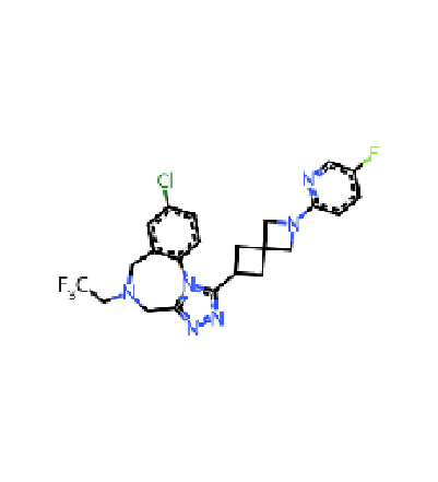 Fc1ccc(N2CC3(CC(c4nnc5n4-c4ccc(Cl)cc4CN(CC(F)(F)F)C5)C3)C2)nc1